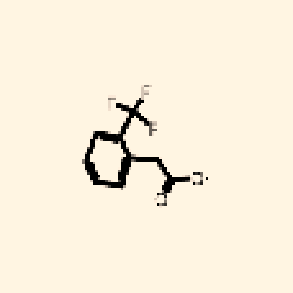 [O]C(=O)Cc1ccccc1C(F)(F)F